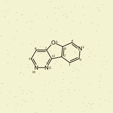 c1cc2c(cn1)oc1ccnnc12